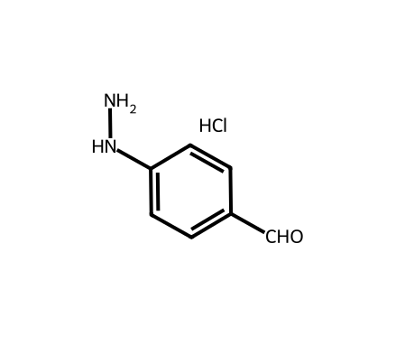 Cl.NNc1ccc(C=O)cc1